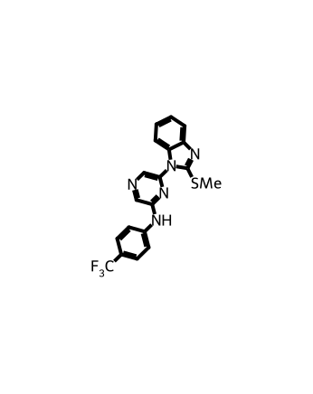 CSc1nc2ccccc2n1-c1cncc(Nc2ccc(C(F)(F)F)cc2)n1